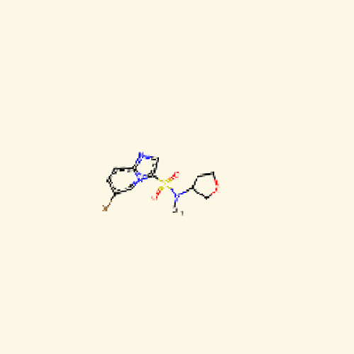 CN(C1CCOC1)S(=O)(=O)c1cnc2ccc(Br)cn12